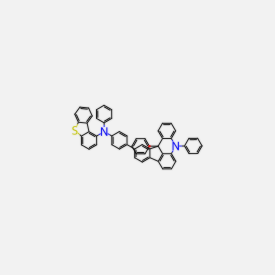 c1ccc(N2c3ccccc3C3(c4ccccc4)c4cc(-c5ccc(N(c6ccccc6)c6cccc7sc8ccccc8c67)cc5)ccc4-c4cccc2c43)cc1